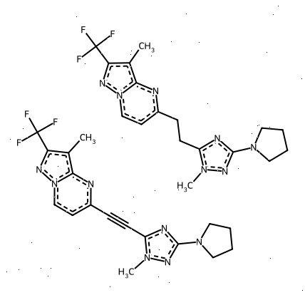 Cc1c(C(F)(F)F)nn2ccc(C#Cc3nc(N4CCCC4)nn3C)nc12.Cc1c(C(F)(F)F)nn2ccc(CCc3nc(N4CCCC4)nn3C)nc12